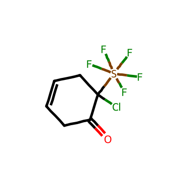 O=C1CC=CCC1(Cl)S(F)(F)(F)(F)F